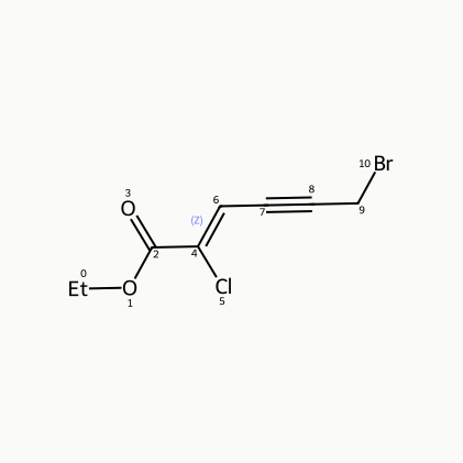 CCOC(=O)/C(Cl)=C/C#CCBr